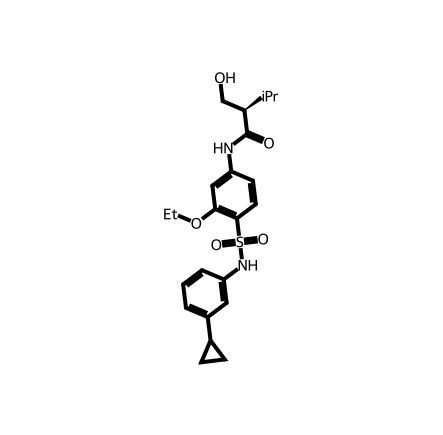 CCOc1cc(NC(=O)[C@@H](CO)C(C)C)ccc1S(=O)(=O)Nc1cccc(C2CC2)c1